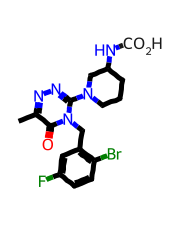 Cc1nnc(N2CCCC(NC(=O)O)C2)n(Cc2cc(F)ccc2Br)c1=O